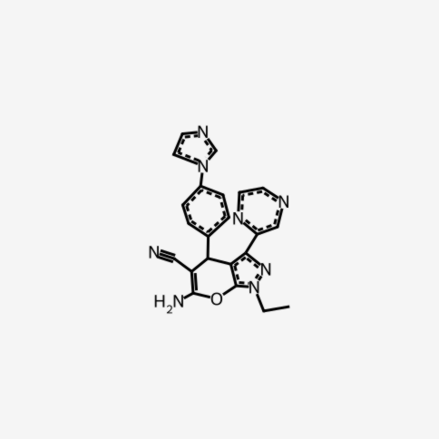 CCn1nc(-c2cnccn2)c2c1OC(N)=C(C#N)C2c1ccc(-n2ccnc2)cc1